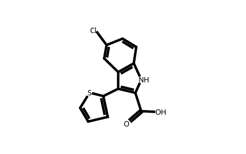 O=C(O)c1[nH]c2ccc(Cl)cc2c1-c1cccs1